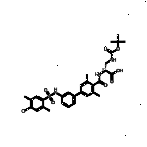 Cc1cc(S(=O)(=O)Nc2cccc(-c3cc(C)c(C(=O)N[C@H](CNC(=O)OC(C)(C)C)C(=O)O)c(C)c3)c2)c(C)cc1Cl